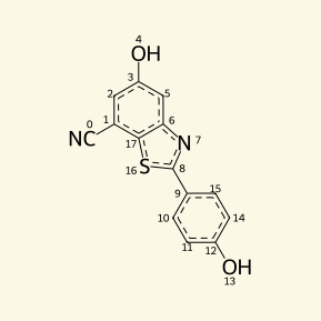 N#Cc1cc(O)cc2nc(-c3ccc(O)cc3)sc12